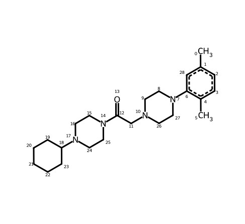 Cc1ccc(C)c(N2CCN(CC(=O)N3CCN(C4CCCCC4)CC3)CC2)c1